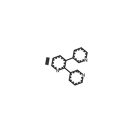 C#C.c1cncc(-c2cccnc2-c2cccnc2)c1